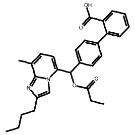 CCCCc1cn2c(C(OC(=O)CC)c3ccc(-c4ccccc4C(=O)O)cc3)ccc(C)c2n1